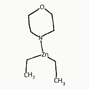 C[CH2][Zn]([CH2]C)[N]1CCOCC1